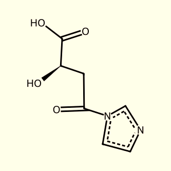 O=C(O)[C@H](O)CC(=O)n1ccnc1